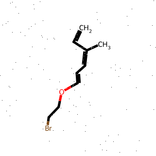 C=C/C(C)=C\C=C\OCCBr